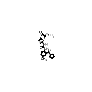 COC(=O)C(C)Sc1cnc(NC(=O)Nc2ccc(C)cc2C(=O)C2CCCC2)s1